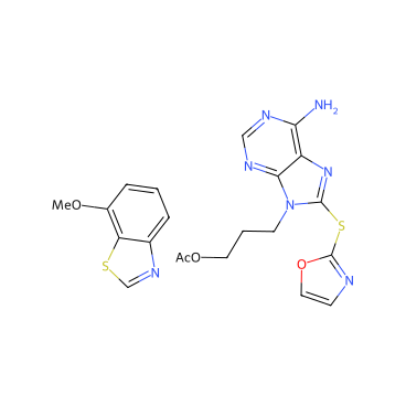 CC(=O)OCCCn1c(Sc2ncco2)nc2c(N)ncnc21.COc1cccc2ncsc12